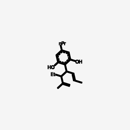 C=C(C)C(CC)C(/C=C/C)c1c(O)cc(CCC)cc1O